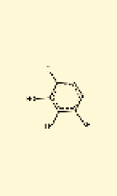 Oc1ccc(S)c(S)c1O